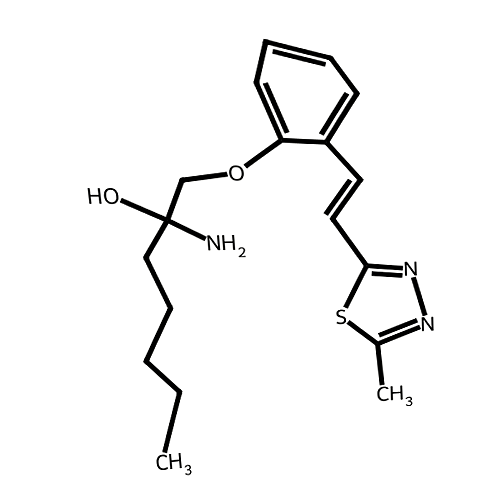 CCCCCC(N)(O)COc1ccccc1C=Cc1nnc(C)s1